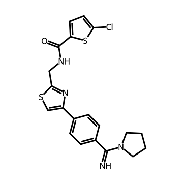 N=C(c1ccc(-c2csc(CNC(=O)c3ccc(Cl)s3)n2)cc1)N1CCCC1